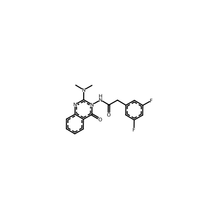 CN(C)c1nc2ccccc2c(=O)n1NC(=O)Cc1cc(F)cc(F)c1